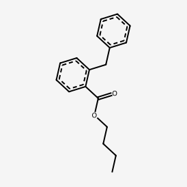 CCCCOC(=O)c1ccccc1Cc1ccccc1